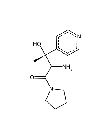 C[C@@](O)(c1ccncc1)C(N)C(=O)N1CCCC1